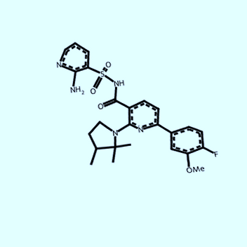 COc1cc(-c2ccc(C(=O)NS(=O)(=O)c3cccnc3N)c(N3CCC(C)C3(C)C)n2)ccc1F